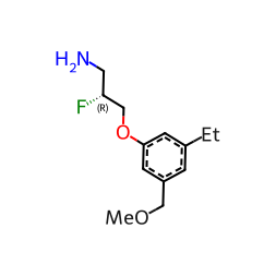 CCc1cc(COC)cc(OC[C@H](F)CN)c1